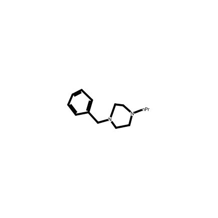 C[CH]CN1CCN(Cc2ccccc2)CC1